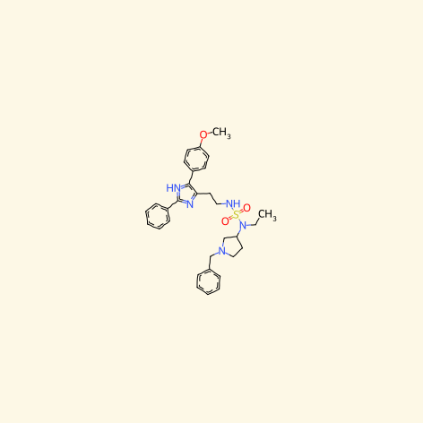 CCN(C1CCN(Cc2ccccc2)C1)S(=O)(=O)NCCc1nc(-c2ccccc2)[nH]c1-c1ccc(OC)cc1